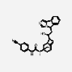 N#Cc1ccc(NC(=O)NC23CC=C4C(C2)C(C(O)CC2c5ccccc5-c5cncn52)C4C3)cc1